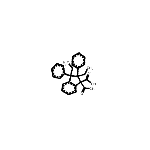 CCC1(c2ccccc2)c2ccccc2C(C(=O)O)(C(=O)O)C1(CC)c1ccccc1